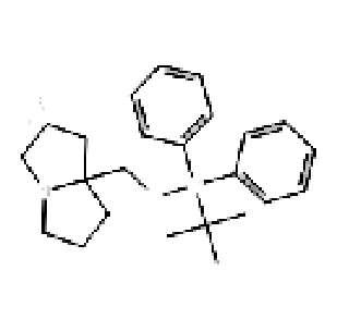 CC(C)(C)[Si](OCC12CCCN1C[C@H](F)C2)(c1ccccc1)c1ccccc1